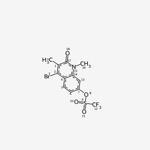 Cc1c(Br)c2ccc(OS(=O)(=O)C(F)(F)F)cc2n(C)c1=O